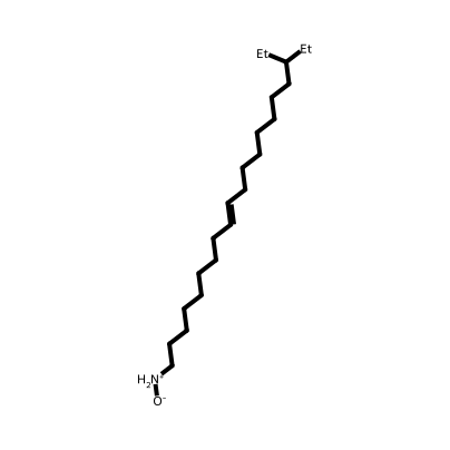 CCC(CC)CCCCCCCC=CCCCCCCCC[NH2+][O-]